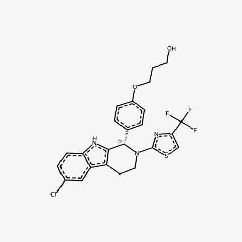 OCCCOc1ccc([C@H]2c3[nH]c4ccc(Cl)cc4c3CCN2c2nc(C(F)(F)F)cs2)cc1